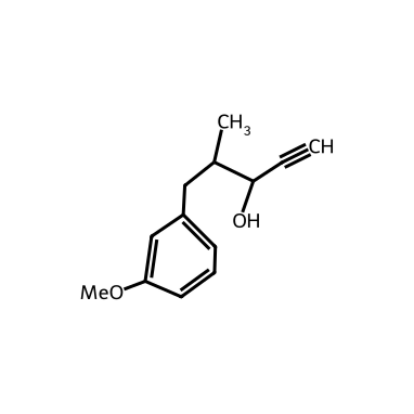 C#CC(O)C(C)Cc1cccc(OC)c1